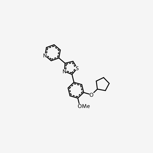 COc1ccc(-c2nc(-c3cccnc3)cs2)cc1OC1CCCC1